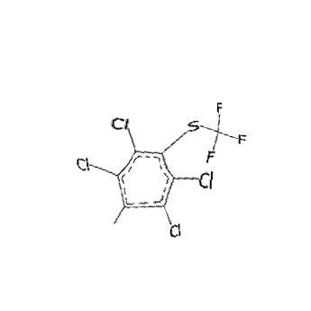 Cc1c(Cl)c(Cl)c(SC(F)(F)F)c(Cl)c1Cl